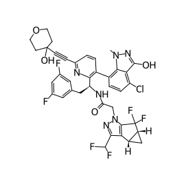 Cn1nc(O)c2c(Cl)ccc(-c3ccc(C#CC4(O)CCOCC4)nc3[C@H](Cc3cc(F)cc(F)c3)NC(=O)Cn3nc(C(F)F)c4c3C(F)(F)[C@@H]3C[C@H]43)c21